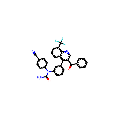 N#Cc1ccc(N(C(N)=O)c2cccc(-c3c(C(=O)c4ccccc4)cnc4c(C(F)(F)F)cccc34)c2)cc1